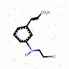 CCN(CCCl)c1cccc(C=CC(=O)O)c1